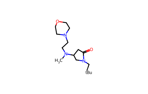 CN(CCN1CCOCC1)C1CC(=O)N(CC(C)(C)C)C1